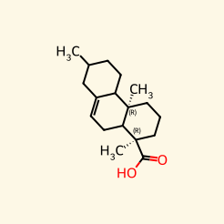 CC1CCC2C(=CCC3[C@]2(C)CCC[C@@]3(C)C(=O)O)C1